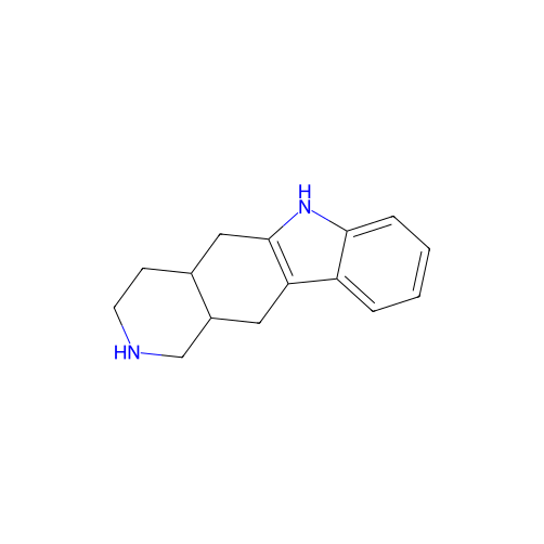 c1ccc2c3c([nH]c2c1)CC1CCNCC1C3